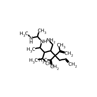 C=CCC(C(=C)C)(C(=C)C)C(CN)C(C(C)C)C(C)NC(C)NC